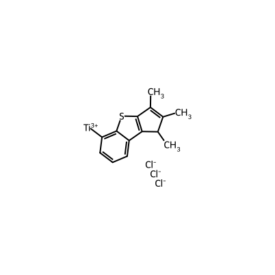 CC1=C(C)C(C)c2c1sc1[c]([Ti+3])cccc21.[Cl-].[Cl-].[Cl-]